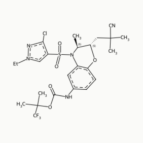 CCn1cc(S(=O)(=O)N2c3cc(NC(=O)OC(C)(C)C(F)(F)F)ccc3O[C@@H](CC(C)(C)C#N)[C@@H]2C)c(Cl)n1